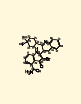 NC(=O)c1nccc2[nH]c(-c3cc4ccccc4nc3C3CCC(F)(F)CC3)c(Br)c(=O)c12